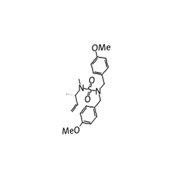 C=C[C@H](C)N(C)S(=O)(=O)N(Cc1ccc(OC)cc1)Cc1ccc(OC)cc1